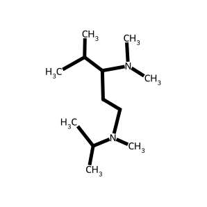 CC(C)C(CCN(C)C(C)C)N(C)C